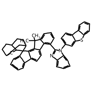 CC1(C)c2cccc(-c3nc4ccccc4n3-c3ccc4c(c3)sc3ccccc34)c2-c2ccc3c(c21)C1(c2ccccc2-3)C2CCC3CCC(C2)CC31